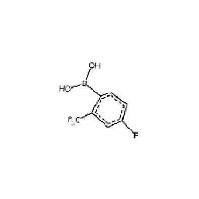 OB(O)c1ccc(F)cc1C(F)(F)F